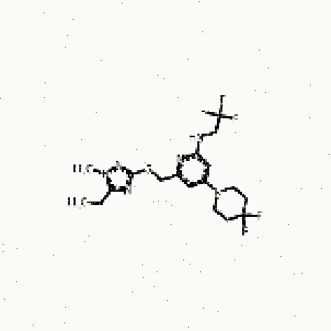 CCc1nc(SCc2cc(N3CCC(F)(F)CC3)cc(NCC(F)(F)F)n2)nn1C